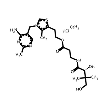 Cc1ncc(C[n+]2csc(CCOC(=O)CCNC(=O)[C@H](O)C(C)(C)CO)c2C)c(N)n1.Cl.[CaH2]